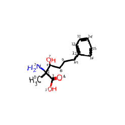 CC(N)(C(=O)O)C(O)CCCc1ccccc1